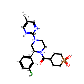 O=C(C1CCS(=O)(=O)CC1)N1CCN(c2ncc(C(F)(F)F)cn2)C[C@@H]1c1cccc(F)c1